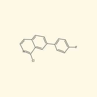 Fc1ccc(-c2ccc3ccnc(Cl)c3c2)cc1